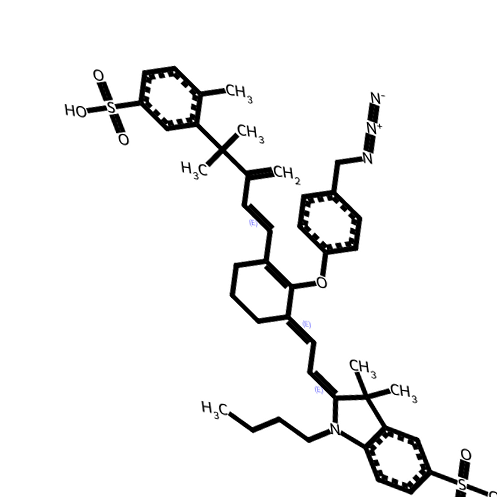 C=C(/C=C/C1=C(Oc2ccc(CN=[N+]=[N-])cc2)C(=C/C=C2/N(CCCC)c3ccc(S(=O)(=O)O)cc3C2(C)C)/CCC1)C(C)(C)c1cc(S(=O)(=O)O)ccc1C